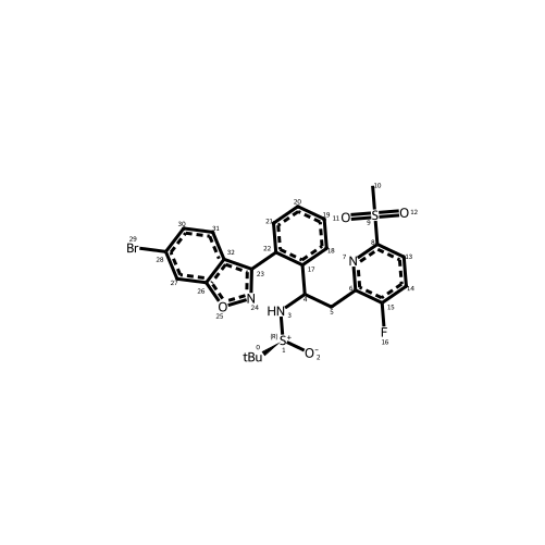 CC(C)(C)[S@+]([O-])NC(Cc1nc(S(C)(=O)=O)ccc1F)c1ccccc1-c1noc2cc(Br)ccc12